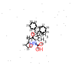 CC(C)(C)[Si](OC(CNC(=O)O)CC1CCO1)(c1ccccc1)c1ccccc1